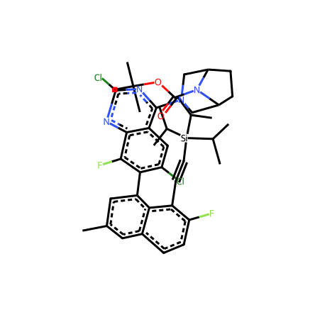 Cc1cc(-c2c(Cl)cc3c(N4CC5CCC(C4)N5C(=O)OC(C)(C)C)nc(Cl)nc3c2F)c2c(C#C[Si](C(C)C)(C(C)C)C(C)C)c(F)ccc2c1